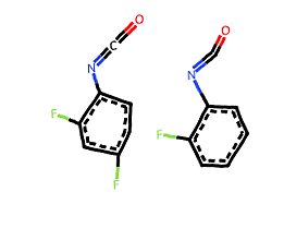 O=C=Nc1ccc(F)cc1F.O=C=Nc1ccccc1F